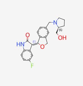 O=C1Nc2ccc(F)cc2/C1=C1\OCc2cc(CN3CCC[C@H]3CO)ccc21